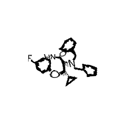 O=C1Nc2cc(F)ccc2O[C@@H](C2CC2)[C@H]1N(Cc1ccccc1)Cc1ccccc1